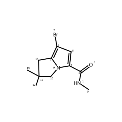 CNC(=O)c1cc(Br)c2n1CC(C)(C)C2